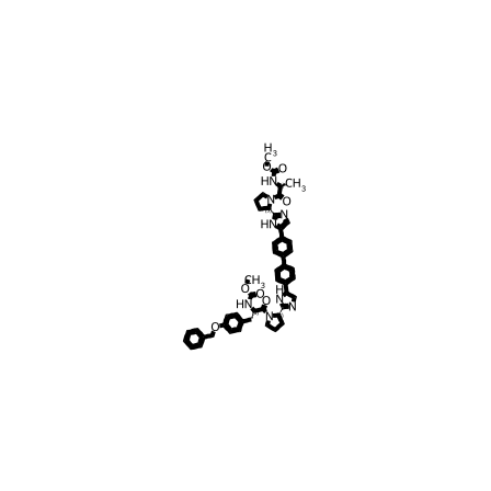 COC(=O)N[C@@H](C)C(=O)N1CCC[C@H]1c1ncc(-c2ccc(-c3ccc(C4CN=C([C@@H]5CCCN5C(=O)[C@H](Cc5ccc(OCc6ccccc6)cc5)NC(=O)OC)N4)cc3)cc2)[nH]1